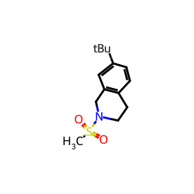 CC(C)(C)c1ccc2c(c1)CN(S(C)(=O)=O)CC2